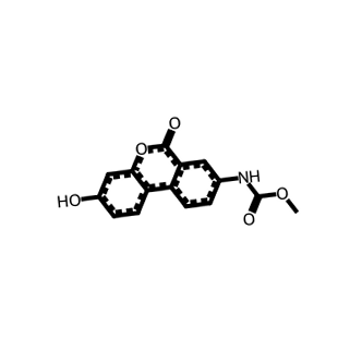 COC(=O)Nc1ccc2c(c1)c(=O)oc1cc(O)ccc12